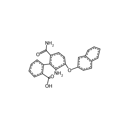 NC(=O)c1ccc(Oc2ccc3ccccc3c2)c(N)c1-c1ccccc1C(=O)O